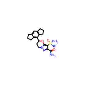 N=S(N)(=O)c1c(C(N)=O)nn2c1OC(c1c3c(cc4c1CCC4)CCC3)CC2